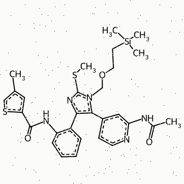 CSc1nc(-c2ccccc2NC(=O)c2cc(C)cs2)c(-c2ccnc(NC(C)=O)c2)n1COCC[Si](C)(C)C